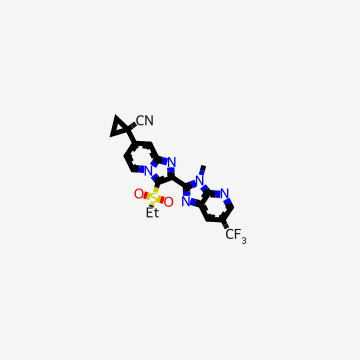 CCS(=O)(=O)c1c(-c2nc3cc(C(F)(F)F)cnc3n2C)nc2cc(C3(C#N)CC3)ccn12